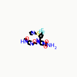 CC(=O)NC1CCN(C[C@H](O)Cn2nc(-c3ccc(C(F)(F)F)c(SCCN4CCCC4)c3)c3c2CCN(C(=O)C(N)=O)C3)CC1